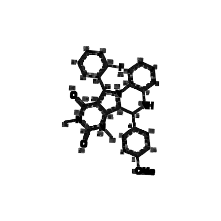 COc1ccc(C2Nc3ccccc3-n3c(-c4ccccc4F)c4c(=O)n(C)c(=O)n(C)c4c32)cc1